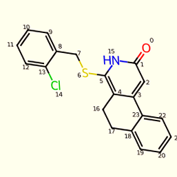 O=c1cc2c(c(SCc3ccccc3Cl)[nH]1)CCc1ccccc1-2